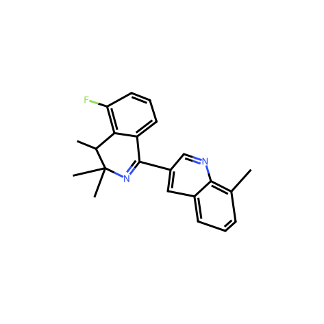 Cc1cccc2cc(C3=NC(C)(C)C(C)c4c(F)cccc43)cnc12